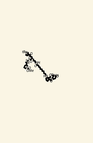 COC(=O)N1CCCC(c2csc(NC(=O)[C@H](CCCCNC(=O)CCCCCCCCCCNc3cccc4c3C(=O)N(C3CCC(=O)NC3=O)C4=O)CCC(=O)c3ccn(C(C)(C)C)c3)n2)C1